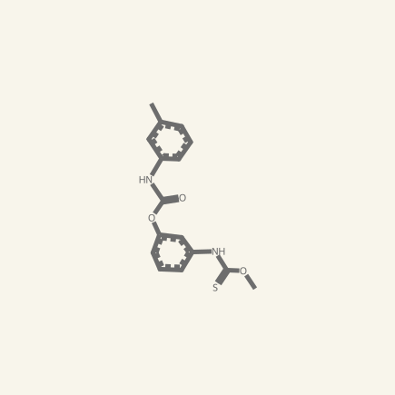 COC(=S)Nc1cccc(OC(=O)Nc2cccc(C)c2)c1